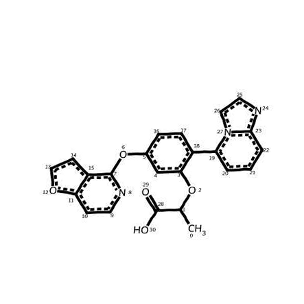 CC(Oc1cc(Oc2nccc3occc23)ccc1-c1cccc2nccn12)C(=O)O